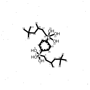 CC(CCP(O)(O)(O)c1ccc(P(O)(O)(O)CCC(C)CC(C)(C)C)cc1)CC(C)(C)C